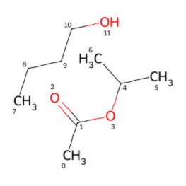 CC(=O)OC(C)C.CCCCO